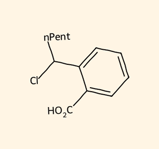 CCCCCC(Cl)c1ccccc1C(=O)O